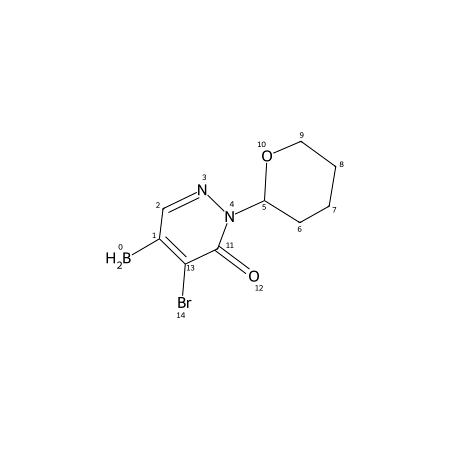 Bc1cnn(C2CCCCO2)c(=O)c1Br